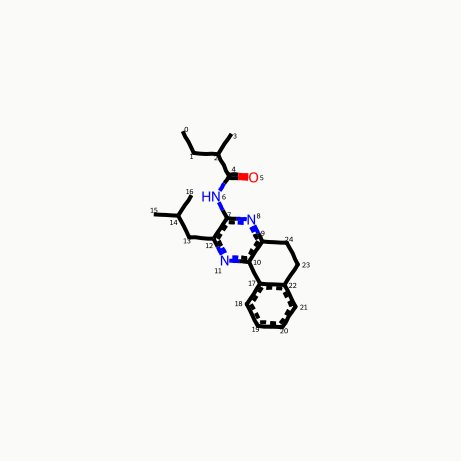 CCC(C)C(=O)Nc1nc2c(nc1CC(C)C)-c1ccccc1CC2